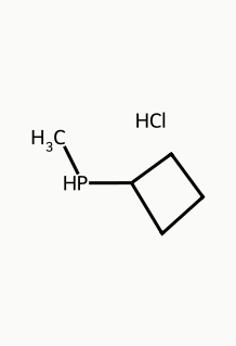 CPC1CCC1.Cl